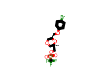 C[C@]1(COS(=O)(=O)C(F)(F)F)COC[C@@H](COc2ccc(Br)cc2)O1